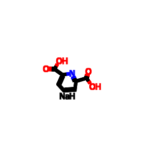 O=C(O)c1cccc(C(=O)O)n1.[NaH]